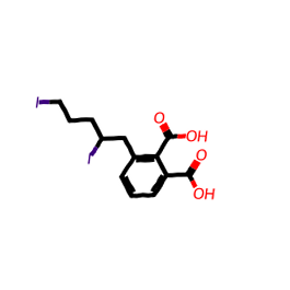 O=C(O)c1cccc(CC(I)CCCI)c1C(=O)O